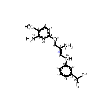 Cc1cnc(OC/C(N)=C/Nc2cccc(C(F)F)c2)nc1N